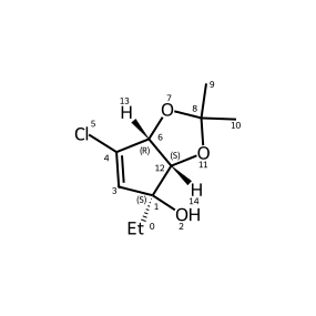 CC[C@]1(O)C=C(Cl)[C@@H]2OC(C)(C)O[C@@H]21